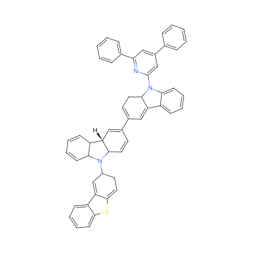 C1=CC2C(C=C1)N(C1C=c3c(sc4ccccc34)=CC1)C1C=CC(C3=CCC4C(=C3)c3ccccc3N4c3cc(-c4ccccc4)cc(-c4ccccc4)n3)=C[C@@H]21